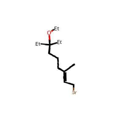 CCOC(CC)(CC)CCC/C(C)=C/CBr